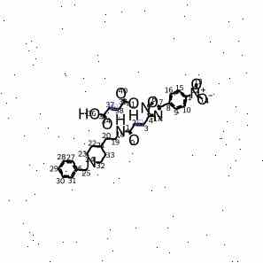 O=C(/C=C/c1noc(-c2ccc([N+](=O)[O-])cc2)n1)NCCC1CCN(Cc2ccccc2)CC1.O=C(O)/C=C/C(=O)O